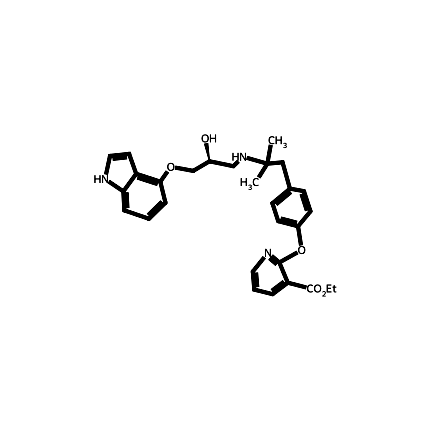 CCOC(=O)c1cccnc1Oc1ccc(CC(C)(C)NC[C@H](O)COc2cccc3[nH]ccc23)cc1